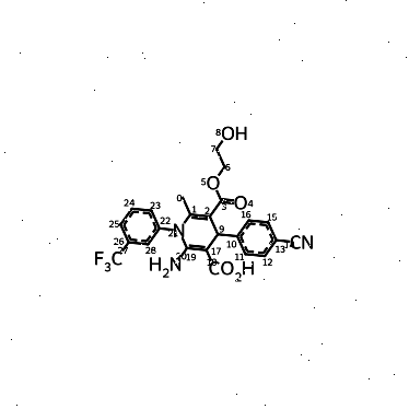 CC1=C(C(=O)OCCO)C(c2ccc(C#N)cc2)C(C(=O)O)=C(N)N1c1cccc(C(F)(F)F)c1